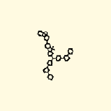 CC1(C)c2cc(-c3ccc4oc5ccccc5c4c3)ccc2-c2ccc(C(c3ccc(-c4cccc(-c5ccccc5)c4)cc3)c3ccc(-c4cccc(-c5ccccc5)c4)cc3)cc21